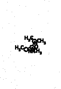 Cc1cc(C)nc(-c2cc3c4cc(C)ccc4[nH]c3n(C)c2=O)c1